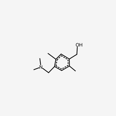 Cc1cc(CN(C)C)c(C)cc1CO